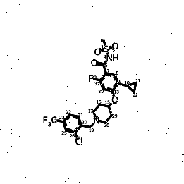 CS(=O)(=O)NC(=O)c1cc(C2CC2)c(OC2CCN(Cc3ccc(C(F)(F)F)cc3Cl)CC2)cc1F